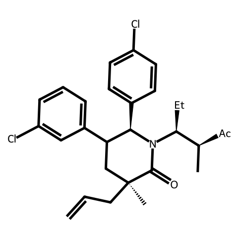 C=CC[C@@]1(C)CC(c2cccc(Cl)c2)[C@@H](c2ccc(Cl)cc2)N([C@@H](CC)[C@H](C)C(C)=O)C1=O